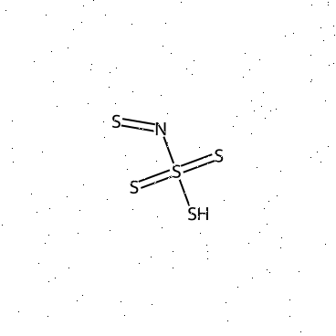 S=NS(=S)(=S)S